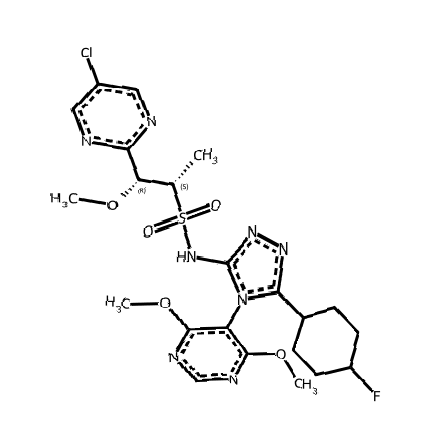 COc1ncnc(OC)c1-n1c(NS(=O)(=O)[C@@H](C)[C@H](OC)c2ncc(Cl)cn2)nnc1C1CCC(F)CC1